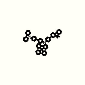 CC1(C)c2ccccc2C2=CC=C(c3ccc(N(c4ccc(-c5ccc(-n6c7ccccc7c7ccccc76)cc5)cc4)c4cccc5c4-c4ccccc4C5(c4ccccc4)c4ccccc4)cc3)CC21